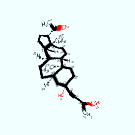 CC(=O)[C@H]1CC[C@H]2[C@@H]3CC[C@@H]4C[C@](O)(C#CC(C)O)CC[C@]4(C)[C@H]3CC[C@]12C